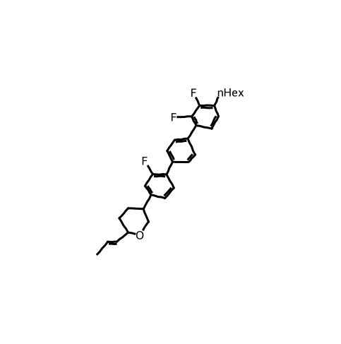 C/C=C/C1CCC(c2ccc(-c3ccc(-c4ccc(CCCCCC)c(F)c4F)cc3)c(F)c2)CO1